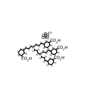 CC(=O)[O-].CC(=O)[O-].O=C(O)C1CCCC(CCCP(CCCC2CCCC(C(=O)O)C2)CCCP(CCCC2CCCC(C(=O)O)C2)CCCC2CCCC(C(=O)O)C2)C1.[Pd+2]